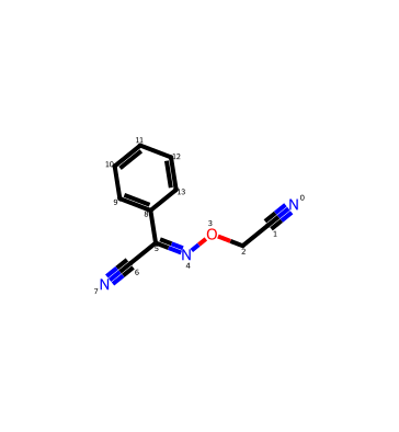 N#CCO/N=C(/C#N)c1ccccc1